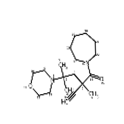 C#CC(C)(CC(C)(C)N1CCOCC1)C(=O)N1CCCCCC1